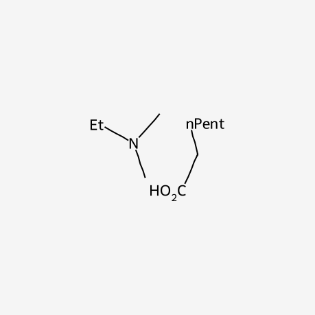 CCCCCCC(=O)O.CCN(C)C